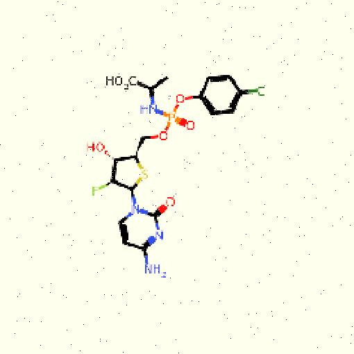 CC(NP(=O)(OC[C@H]1S[C@@H](n2ccc(N)nc2=O)[C@@H](F)[C@@H]1O)Oc1ccc(Cl)cc1)C(=O)O